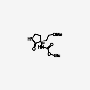 COCC[C@@]1(NC(=O)OC(C)(C)C)CCNC1=O